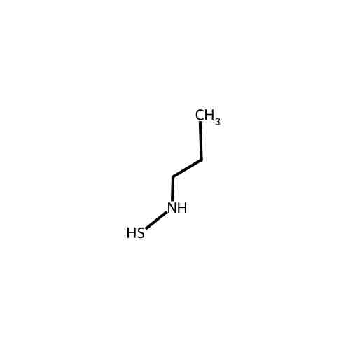 CCCNS